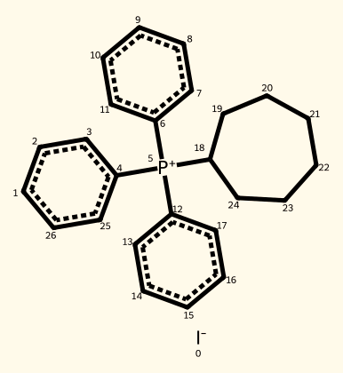 [I-].c1ccc([P+](c2ccccc2)(c2ccccc2)C2CCCCCC2)cc1